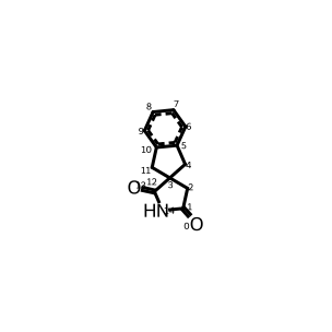 O=C1CC2(Cc3ccccc3C2)C(=O)N1